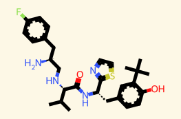 CC(C)[C@H](NC[C@@H](N)Cc1ccc(F)cc1)C(=O)N[C@@H](Cc1ccc(O)c(C(C)(C)C)c1)c1nccs1